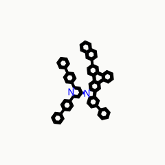 c1ccc(-c2ccc(-c3cc(-n4c5ccc(-c6ccccc6)cc5c5cc6c7ccccc7c7cc(-c8ccc9ccccc9c8)ccc7c6cc54)cc(-c4ccc(-c5ccccc5)cc4)n3)cc2)cc1